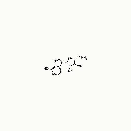 NC[C@H]1O[C@@H](n2cnc3c(O)ncnc32)[C@H](O)[C@@H]1O